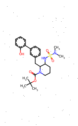 CN(C)S(=O)(=O)NC1CCCN(C(=O)OC(C)(C)C)C1Cc1cccc(-c2ccccc2O)c1